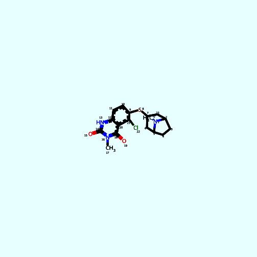 CN1C2CCC1CC(Sc1ccc3[nH]c(=O)n(C)c(=O)c3c1Cl)C2